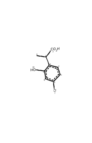 CC(C(=O)O)c1ccc(Cl)cc1O